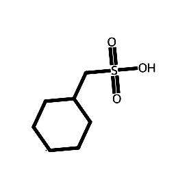 O=S(=O)(O)CC1CC[CH]CC1